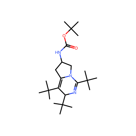 CC(C)(C)OC(=O)NC1CC2=C(C(C)(C)C)C(C(C)(C)C)N=C(C(C)(C)C)N2C1